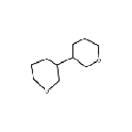 C1COCC(C2CCCOC2)C1